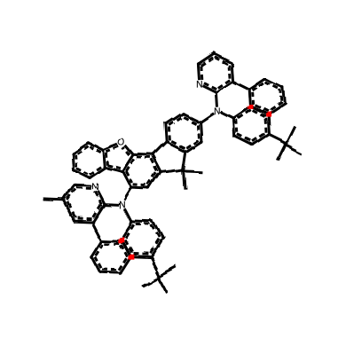 Cc1cnc(N(c2ccc(C(C)(C)C)cc2)c2cc3c(c4oc5ccccc5c24)-c2ccc(N(c4ccc(C(C)(C)C)cc4)c4ncccc4-c4ccccc4)cc2C3(C)C)c(-c2ccccc2)c1